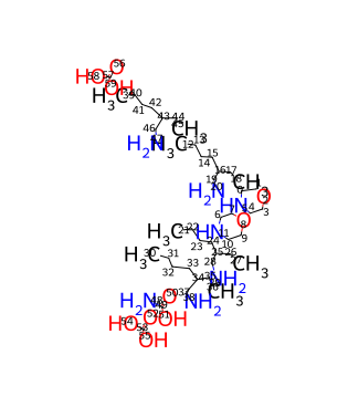 C1COCCN1.C1COCCN1.CCCCC(CC)CN.CCCCC(CC)CN.CCCCC(CC)CN.CCCCC(CC)CN.NC(=O)O.O=C(O)O.O=C(O)O